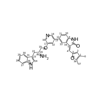 Cc1cc(C=C2C(=O)Nc3ccc(-c4cncc(OC[C@H](N)Cc5c[nH]c6ccccc56)c4)cc32)oc1C